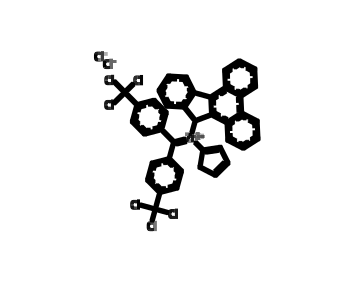 ClC(Cl)(Cl)c1ccc([C](c2ccc(C(Cl)(Cl)Cl)cc2)=[Zr+2]([C]2=CC=CC2)[CH]2c3ccccc3-c3c2c2ccccc2c2ccccc32)cc1.[Cl-].[Cl-]